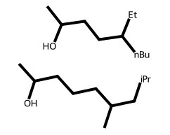 CC(C)CC(C)CCCC(C)O.CCCCC(CC)CCC(C)O